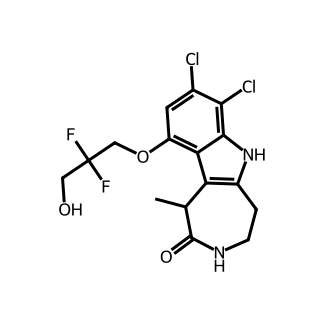 CC1C(=O)NCCc2[nH]c3c(Cl)c(Cl)cc(OCC(F)(F)CO)c3c21